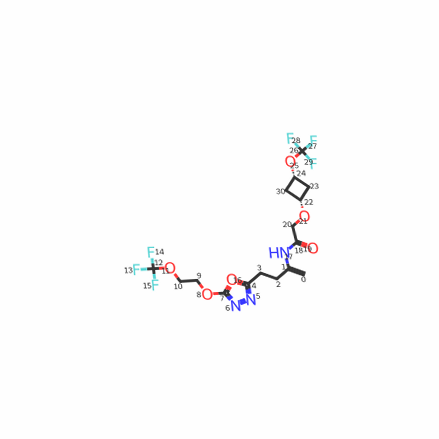 C=C(CCc1nnc(OCCOC(F)(F)F)o1)NC(=O)CO[C@H]1C[C@@H](OC(F)(F)F)C1